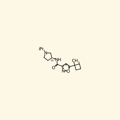 CC(C)N1CC[C@H](NC(=O)c2cc(C3(C)CCC3)on2)C1